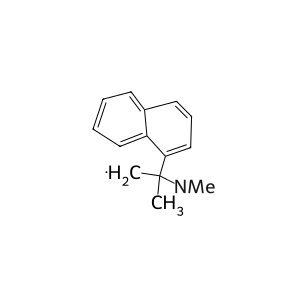 [CH2]C(C)(NC)c1cccc2ccccc12